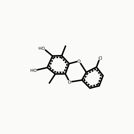 Cc1c(O)c(O)c(C)c2c1Oc1cccc(Cl)c1O2